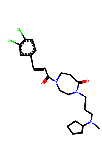 CN(CCCN1CCN(C(=O)/C=C/c2ccc(Cl)c(Cl)c2)CCC1=O)C1CCCC1